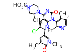 Cc1ccnc(C(C)C)c1-n1c(=O)nc(N2CCN(C(=O)O)CC2C)c2cc(Cl)c(-c3cc(C)c(=O)n(C)c3)nc21